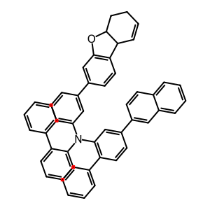 C1=CC2c3ccc(-c4cccc(N(c5ccccc5-c5ccccc5)c5cc(-c6ccc7ccccc7c6)ccc5-c5ccccc5)c4)cc3OC2CC1